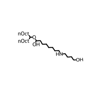 CCCCCCCCC(CCCCCCCC)OC(O)CCCCCCCNCCCCO